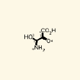 NC(O)C(=O)C(=O)O